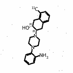 [11CH3]c1cccc2c1C[C@@H](O)[C@H](N1CCN(c3ccccc3N)CC1)C2